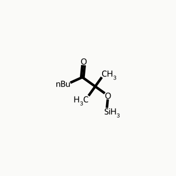 CCCCC(=O)C(C)(C)O[SiH3]